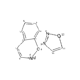 C1=Cc2ccccc2ON1.c1conn1